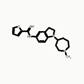 CN1CCCC(N2CCc3cc(NC(=N)c4ccco4)ccc32)CC1